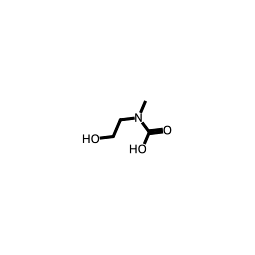 CN(CCO)C(=O)O